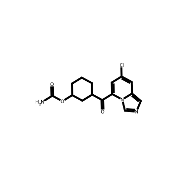 NC(=O)OC1CCCC(C(=O)c2cc(Cl)cc3cncn23)C1